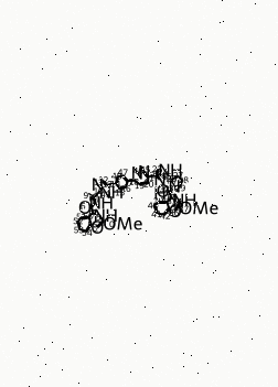 COC(=O)N[C@@H](C(=O)N[C@@H](C)c1ncc(-c2ccc(-c3ccc(C4=CNC([C@@H]5CCCN5C(=O)[C@H](NC(=O)OC)c5ccccc5)N4)nn3)cc2)[nH]1)c1ccccc1